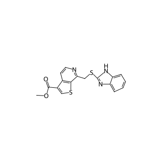 COC(=O)c1csc2c(CSc3nc4ccccc4[nH]3)nccc12